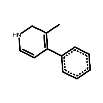 CC1=C(c2ccccc2)C=CNC1